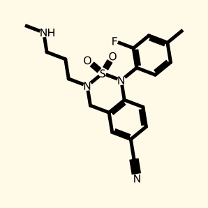 CNCCCN1Cc2cc(C#N)ccc2N(c2ccc(C)cc2F)S1(=O)=O